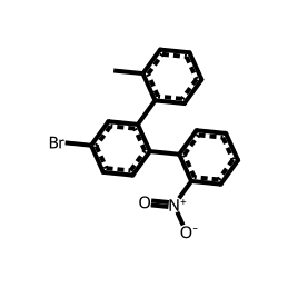 Cc1ccccc1-c1cc(Br)ccc1-c1ccccc1[N+](=O)[O-]